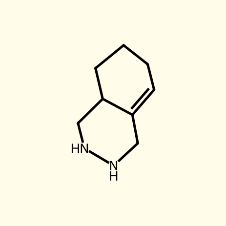 C1=C2CNNCC2CCC1